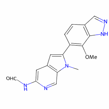 COc1c(-c2cc3cc(NC=O)ncc3n2C)ccc2cn[nH]c12